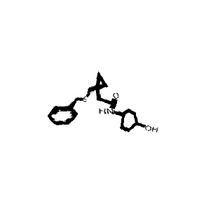 O=C(CC1(CSCc2ccccc2)CC1)NC1CCC(O)CC1